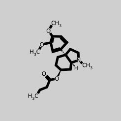 CCCC(=O)O[C@H]1CC[C@@]2(c3ccc(OC)c(OC)c3)CCN(C)[C@H]2C1